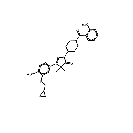 COc1ccc(C2=NN(C3CCN(C(=O)c4ccccc4OC)CC3)C(=O)C2(C)C)cc1OCC1CC1